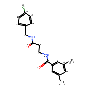 Cc1cc(C(=O)NCCC(=O)NCc2ccc(Cl)cc2)cc(C(F)(F)F)c1